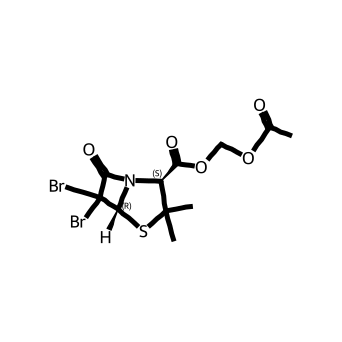 CC(=O)OCOC(=O)[C@@H]1N2C(=O)C(Br)(Br)[C@H]2SC1(C)C